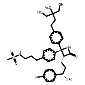 CC(=O)O[C@@H](CC[C@H]1C(=O)N[C@@]1(c1ccc(CCCNS(C)(=O)=O)cc1)c1ccc(CCC(CO)(CO)OC(C)=O)cc1)c1ccc(F)cc1